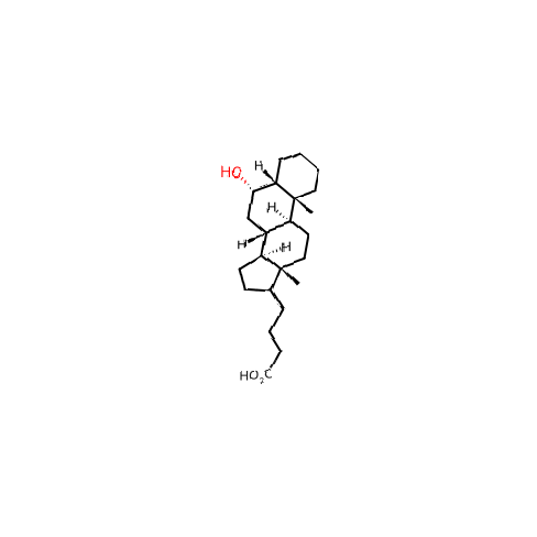 C[C@]12CCCC[C@H]1[C@@H](O)C[C@@H]1[C@@H]2CC[C@]2(C)C(CCCC(=O)O)CC[C@@H]12